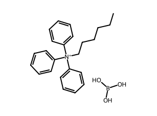 CCCCCC[N+](c1ccccc1)(c1ccccc1)c1ccccc1.OB(O)O